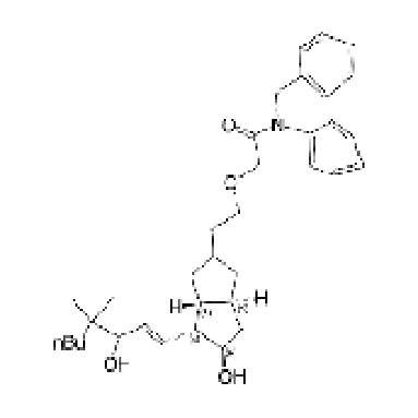 CCCCC(C)(C)C(O)C=C[C@@H]1[C@@H]2CC(CCOCC(=O)N(Cc3ccccc3)c3ccccc3)C[C@H]2C[C@H]1O